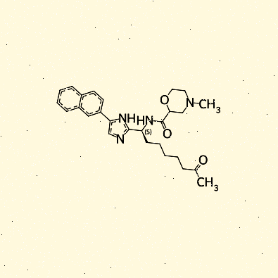 CC(=O)CCCCC[C@H](NC(=O)C1CN(C)CCO1)c1ncc(-c2ccc3ccccc3c2)[nH]1